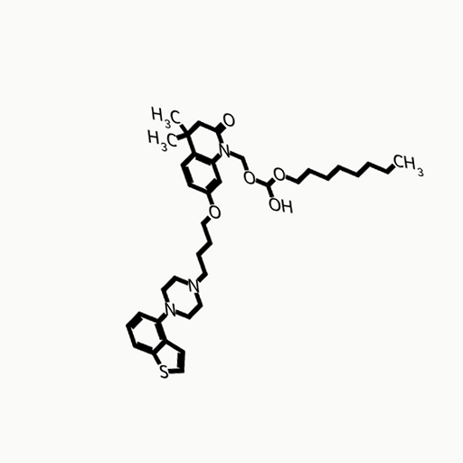 CCCCCCCCOC(O)OCN1C(=O)CC(C)(C)c2ccc(OCCCCN3CCN(c4cccc5sccc45)CC3)cc21